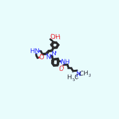 CN(C)CCCCCC(=O)Nc1cccc(-c2nc(-c3cccc(CO)c3)cc(C3CNCCO3)n2)c1